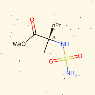 CCC[C@](C)(NS(N)(=O)=O)C(=O)OC